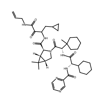 C=CCNC(=O)C(=O)C(CC1CC1)NC(=O)[C@@H]1[C@@H]2[C@H](CN1C(=O)[C@@H](NC(=O)[C@@H](NC(=O)c1cnccn1)C1CCCCC1)C1(C)CCCCC1)C2(C)C